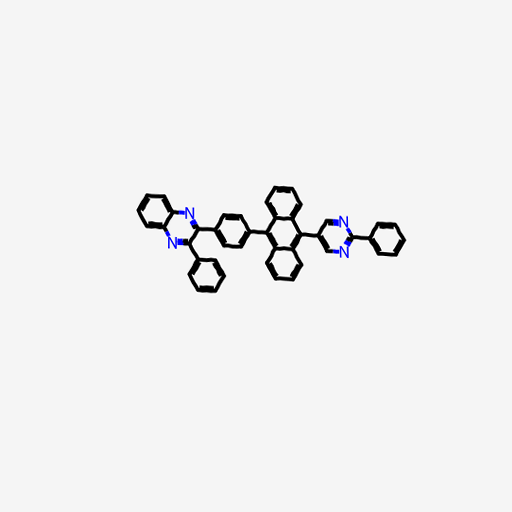 c1ccc(-c2ncc(-c3c4ccccc4c(-c4ccc(-c5nc6ccccc6nc5-c5ccccc5)cc4)c4ccccc34)cn2)cc1